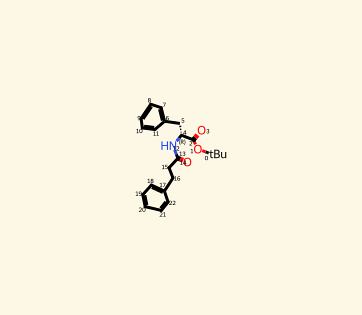 CC(C)(C)OC(=O)[C@@H](Cc1ccccc1)NC(=O)CCc1ccccc1